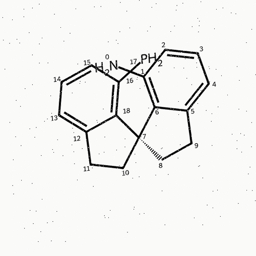 Nc1cccc2c1[C@@]1(CC2)CCc2cccc(P)c21